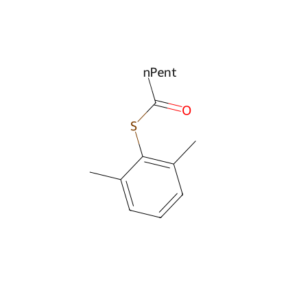 CCCCCC(=O)Sc1c(C)cccc1C